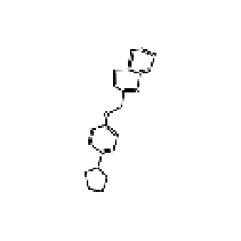 c1ccc2nc(COc3ccc(C4CCCC4)cc3)ccc2c1